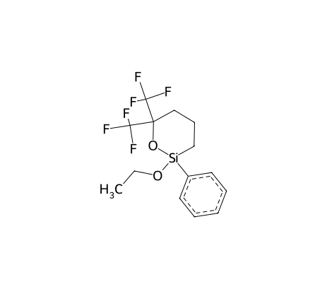 CCO[Si]1(c2ccccc2)CCCC(C(F)(F)F)(C(F)(F)F)O1